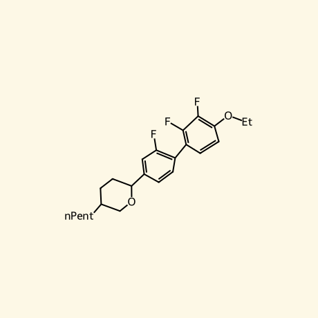 CCCCCC1CCC(c2ccc(-c3ccc(OCC)c(F)c3F)c(F)c2)OC1